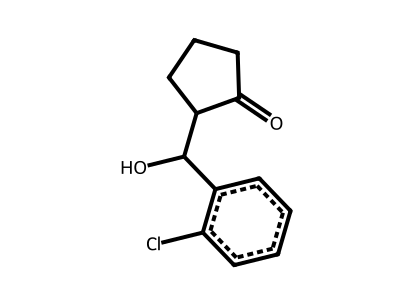 O=C1CCCC1C(O)c1ccccc1Cl